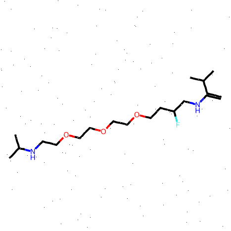 C=C(NCC(F)CCOCCOCCOCCNC(C)C)C(C)C